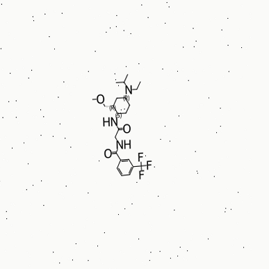 CCN(C(C)C)[C@@H]1CC[C@H](NC(=O)CNC(=O)c2cccc(C(F)(F)F)c2)[C@H](COC)C1